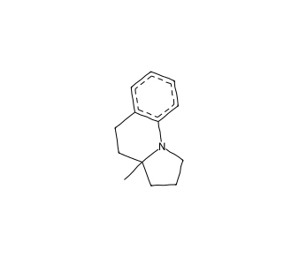 CC12CCCN1c1ccccc1CC2